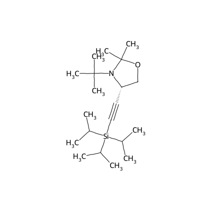 CC(C)[Si](C#C[C@H]1COC(C)(C)N1C(C)(C)C)(C(C)C)C(C)C